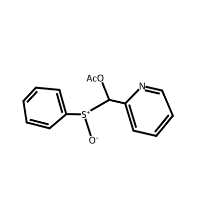 CC(=O)OC(c1ccccn1)[S+]([O-])c1ccccc1